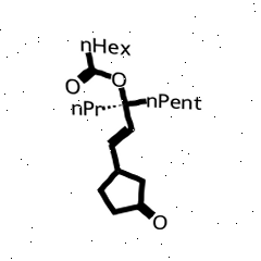 CCCCCCC(=O)O[C@@](C=CC1CCC(=O)C1)(CCC)CCCCC